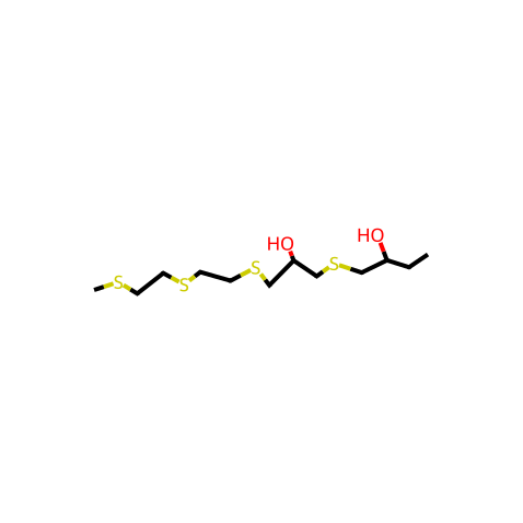 CCC(O)CSCC(O)CSCCSCCSC